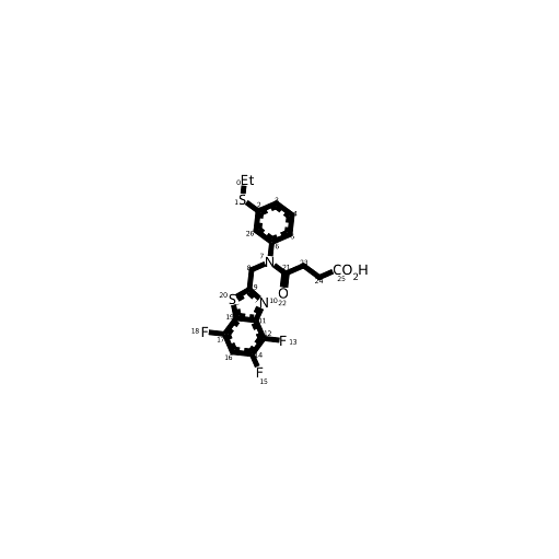 CCSc1cccc(N(Cc2nc3c(F)c(F)cc(F)c3s2)C(=O)CCC(=O)O)c1